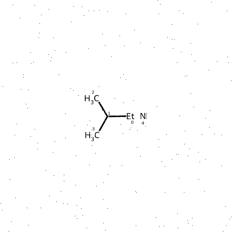 CCC(C)C.[N]